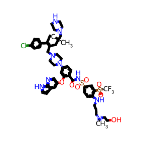 CN(CCO)CCCNc1ccc(S(=O)(=O)NC(=O)c2ccc(N3CCN(CC4=C(c5ccc(Cl)cc5)CC[C@@](C)(CN5CCNCC5)C4)CC3)cc2Oc2cnc3[nH]ccc3c2)cc1S(=O)(=O)C(F)(F)F